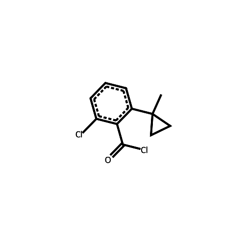 CC1(c2cccc(Cl)c2C(=O)Cl)CC1